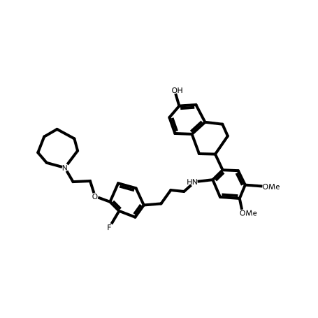 COc1cc(NCCCc2ccc(OCCN3CCCCCC3)c(F)c2)c(C2CCc3cc(O)ccc3C2)cc1OC